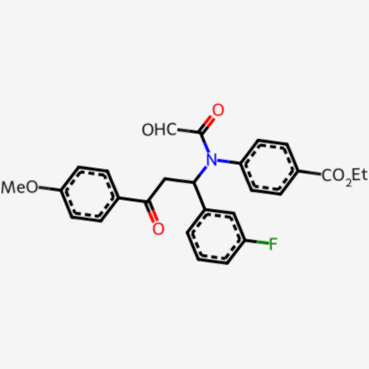 CCOC(=O)c1ccc(N(C(=O)C=O)C(CC(=O)c2ccc(OC)cc2)c2cccc(F)c2)cc1